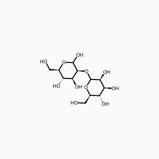 OC[C@H]1OC(O[C@@H]2C(O)O[C@H](CO)[C@@H](O)[C@@H]2O)[C@@H](O)[C@@H](O)[C@@H]1O